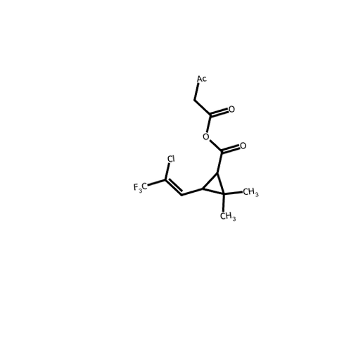 CC(=O)CC(=O)OC(=O)C1C(C=C(Cl)C(F)(F)F)C1(C)C